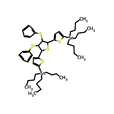 CCC[CH2][Sn]([CH2]CCC)([CH2]CCC)[c]1ccc(C2SC(c3cc[c]([Sn]([CH2]CCC)([CH2]CCC)[CH2]CCC)s3)C(Sc3ccccc3)C2Sc2ccccc2)s1